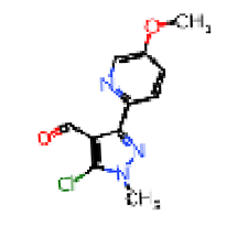 COc1ccc(-c2nn(C)c(Cl)c2C=O)nc1